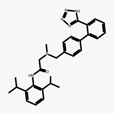 CC(C)c1cccc(C(C)C)c1NC(=O)CN(C)Cc1ccc(-c2ccccc2-c2nnn[nH]2)cc1